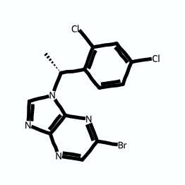 C[C@H](c1ccc(Cl)cc1Cl)n1cnc2ncc(Br)nc21